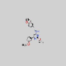 COc1ccc(CCNc2cc(-c3cccc(OC)c3)nc(OC)n2)cc1